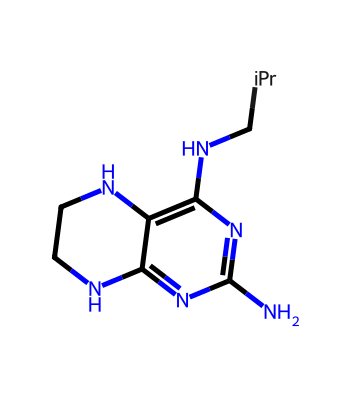 CC(C)CNc1nc(N)nc2c1NCCN2